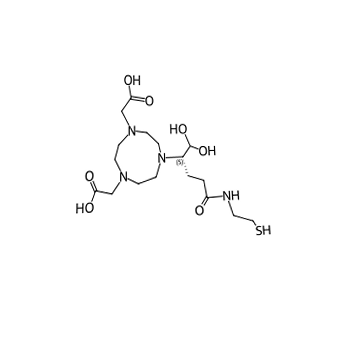 O=C(O)CN1CCN(CC(=O)O)CCN([C@@H](CCC(=O)NCCS)C(O)O)CC1